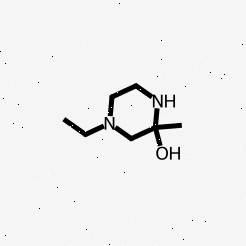 CCN1CCNC(C)(O)C1